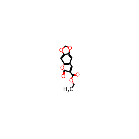 CCOC(=O)c1cc2cc3c(cc2oc1=O)OCO3